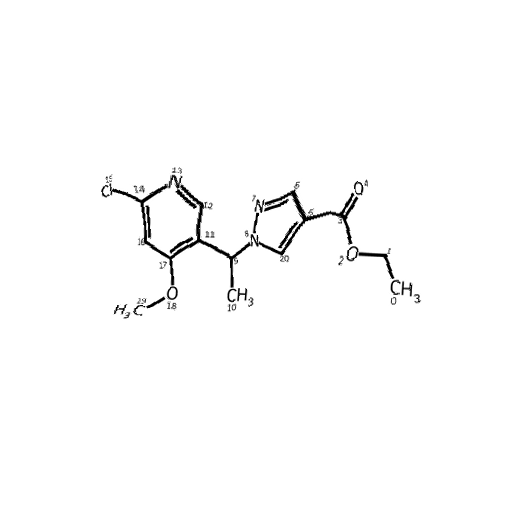 CCOC(=O)c1cnn(C(C)c2cnc(Cl)cc2OC)c1